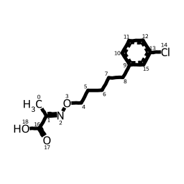 C/C(=N\OCCCCCc1cccc(Cl)c1)C(=O)O